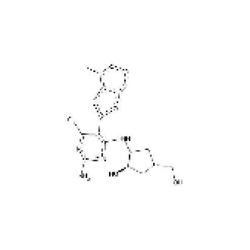 Cc1cncc2oc(-c3c(Cl)nc(N)nc3NC3C[C@H](CO)C[C@H]3O)cc12